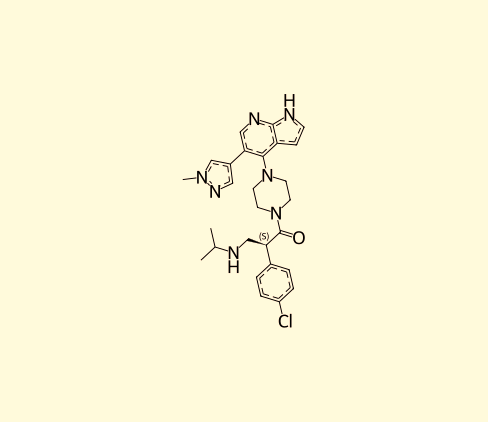 CC(C)NC[C@@H](C(=O)N1CCN(c2c(-c3cnn(C)c3)cnc3[nH]ccc23)CC1)c1ccc(Cl)cc1